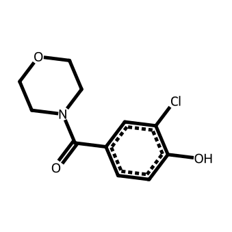 O=C(c1ccc(O)c(Cl)c1)N1CCOCC1